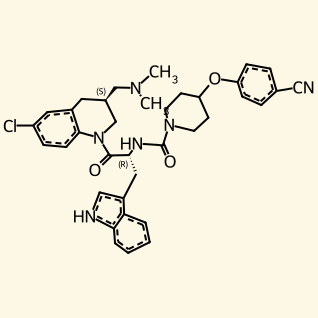 CN(C)C[C@@H]1Cc2cc(Cl)ccc2N(C(=O)[C@@H](Cc2c[nH]c3ccccc23)NC(=O)N2CCC(Oc3ccc(C#N)cc3)CC2)C1